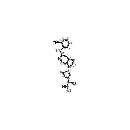 CCNC(=O)c1cc(-n2ncc3cc(Nc4ccccc4Cl)ncc32)cs1